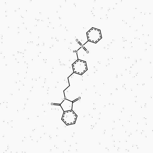 O=C1c2ccccc2C(=O)N1CCCc1cccc(NS(=O)(=O)c2ccccc2)c1